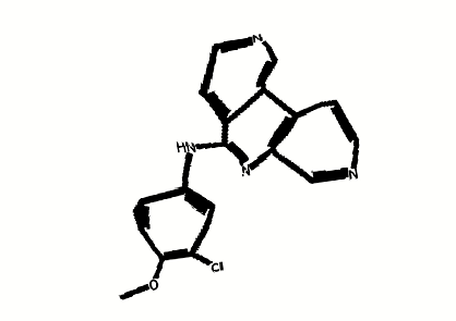 COc1ccc(Nc2nc3cnccc3c3cnccc23)cc1Cl